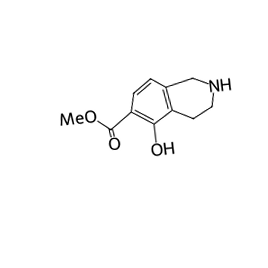 COC(=O)c1ccc2c(c1O)CCNC2